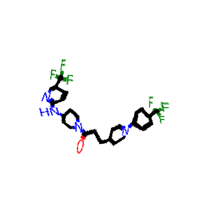 O=C(CCC1CCN(c2ccc(C(F)(F)F)cc2)CC1)N1CCC(Nc2ccc(C(F)(F)F)cn2)CC1